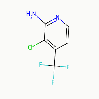 Nc1nccc(C(F)(F)F)c1Cl